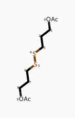 CC(=O)OCCCSSCCCOC(C)=O